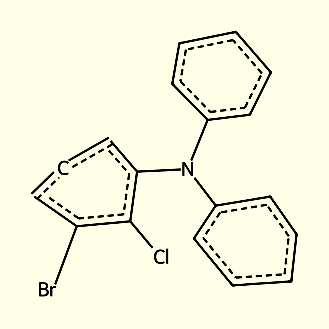 Clc1c(Br)cccc1N(c1ccccc1)c1ccccc1